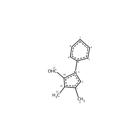 Cc1cn(-c2ccccc2)c(C=O)c1C